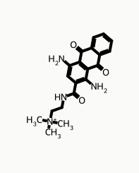 C[N+](C)(C)CCNC(=O)c1cc(N)c2c(c1N)C(=O)c1ccccc1C2=O